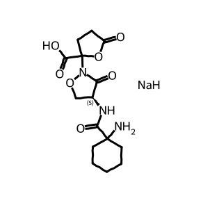 NC1(C(=O)N[C@H]2CON(C3(C(=O)O)CCC(=O)O3)C2=O)CCCCC1.[NaH]